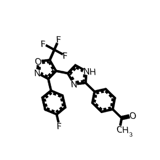 CC(=O)c1ccc(-c2nc(-c3c(-c4ccc(F)cc4)noc3C(F)(F)F)c[nH]2)cc1